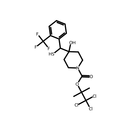 CC(C)(OC(=O)N1CCC(O)(C(S)c2ccccc2C(F)(F)F)CC1)C(Cl)(Cl)Cl